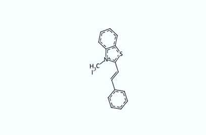 C[n+]1c(C=Cc2ccccc2)sc2ccccc21.[I-]